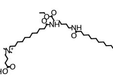 CCCCCCCCCCCC(=O)NCCCC[C@H](NC(=O)CCCCCCCCCC[N+](C)(C)CCCC(=O)O)C(=O)OCC